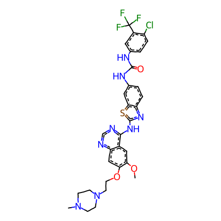 COc1cc2c(Nc3nc4ccc(NC(=O)Nc5ccc(Cl)c(C(F)(F)F)c5)cc4s3)ncnc2cc1OCCN1CCN(C)CC1